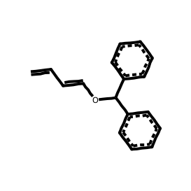 C=CC=COC(c1ccccc1)c1ccccc1